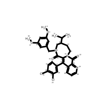 COc1cc(CN2CC(C(C)C)CCn3c(c(-c4ccc(Cl)c(Cl)c4)c4cccnc4c3=O)C2=O)cc(OC)c1